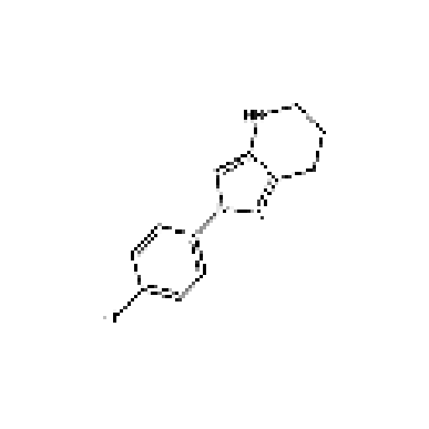 Clc1ccc(-n2cc3c(n2)CCCN3)cc1